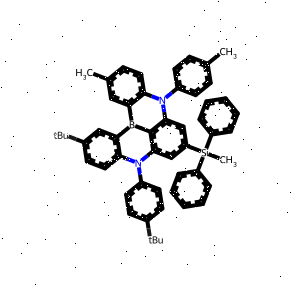 Cc1ccc(N2c3ccc(C)cc3B3c4cc(C(C)(C)C)ccc4N(c4ccc(C(C)(C)C)cc4)c4cc([Si](C)(c5ccccc5)c5ccccc5)cc2c43)cc1